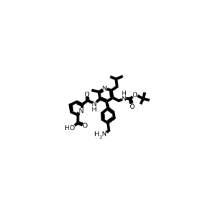 Cc1nc(CC(C)C)c(CNC(=O)OC(C)(C)C)c(-c2ccc(CN)cc2)c1NC(=O)c1cccc(C(=O)O)n1